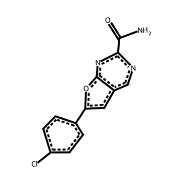 NC(=O)c1n[c]c2cc(-c3ccc(Cl)cc3)oc2n1